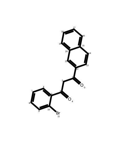 O=C(CC(=O)c1ccccc1Br)c1ccc2ccccc2c1